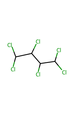 ClC(Cl)C(Cl)C(Cl)C(Cl)Cl